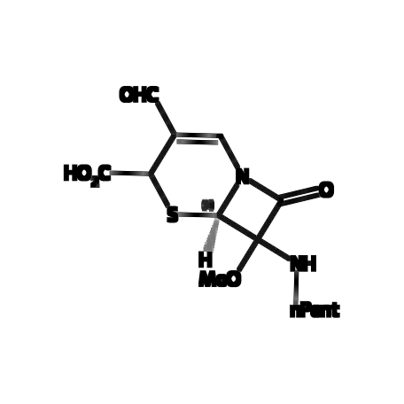 CCCCCNC1(OC)C(=O)N2C=C(C=O)C(C(=O)O)S[C@@H]21